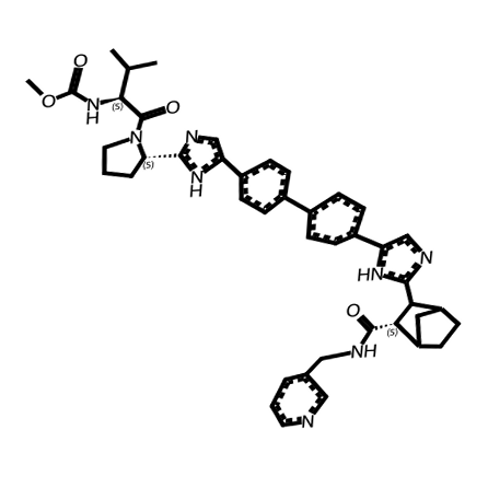 COC(=O)N[C@H](C(=O)N1CCC[C@H]1c1ncc(-c2ccc(-c3ccc(-c4cnc(C5C6CCC(C6)[C@@H]5C(=O)NCc5cccnc5)[nH]4)cc3)cc2)[nH]1)C(C)C